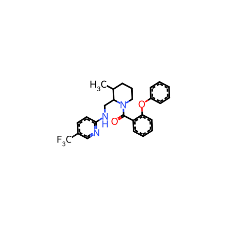 CC1CCCN(C(=O)c2ccccc2Oc2ccccc2)C1CNc1ccc(C(F)(F)F)cn1